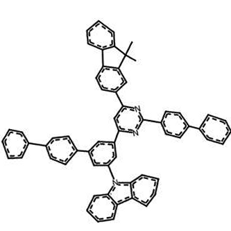 CC1(C)c2ccccc2-c2ccc(-c3cc(-c4cc(-c5ccc(-c6ccccc6)cc5)cc(-n5c6ccccc6c6ccccc65)c4)nc(-c4ccc(-c5ccccc5)cc4)n3)cc21